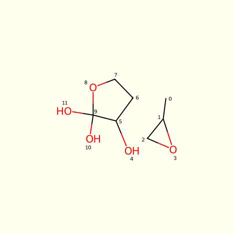 CC1CO1.OC1CCOC1(O)O